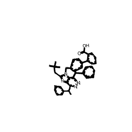 CC(c1ccccc1)c1nnc(C(C)c2ccccc2)c2c1nc(CC(C)(C)C)n2Cc1ccc(-c2ccccc2C(=O)O)cc1